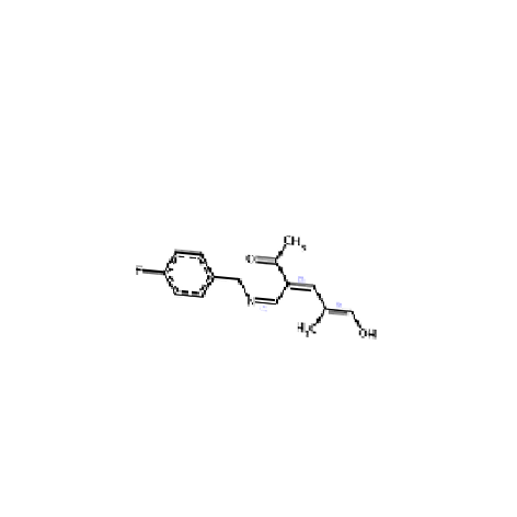 CC(=O)C(/C=N\Cc1ccc(F)cc1)=C/C(C)=C/O